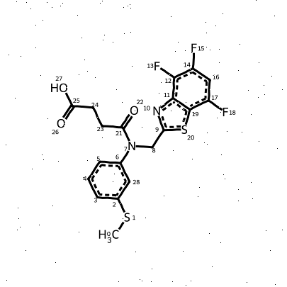 CSc1cccc(N(Cc2nc3c(F)c(F)cc(F)c3s2)C(=O)CCC(=O)O)c1